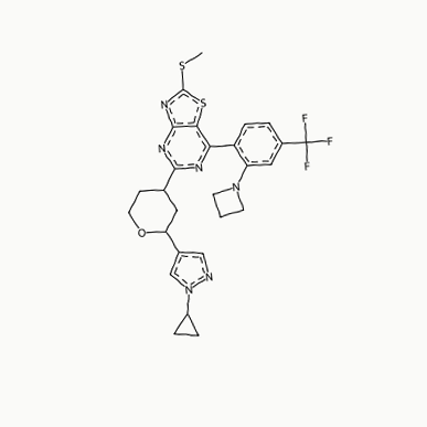 CSc1nc2nc(C3CCOC(c4cnn(C5CC5)c4)C3)nc(-c3ccc(C(F)(F)F)cc3N3CCC3)c2s1